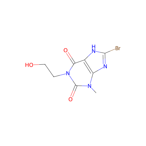 Cn1c(=O)n(CCO)c(=O)c2[nH]c(Br)nc21